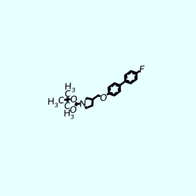 CC(C)(C)OC(=O)N1CCC(COc2ccc(-c3ccc(F)cc3)cc2)C1